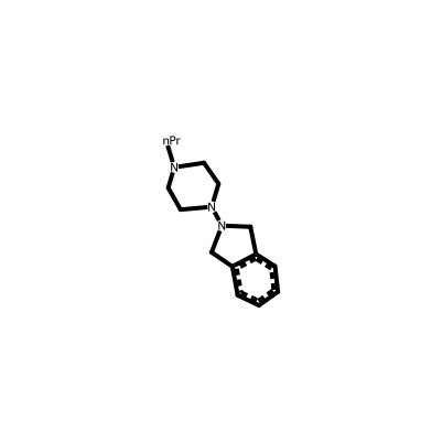 CCCN1CCN(N2Cc3ccccc3C2)CC1